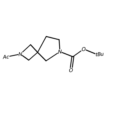 CC(=O)N1CC2(CCN(C(=O)OC(C)(C)C)C2)C1